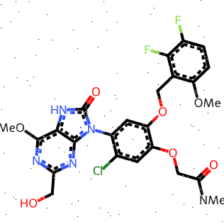 CNC(=O)COc1cc(Cl)c(-n2c(=O)[nH]c3c(OC)nc(CO)nc32)cc1OCc1c(OC)ccc(F)c1F